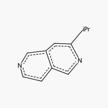 CC(C)c1cc2cnccc2cn1